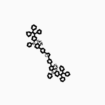 c1ccc(C(=C(c2ccccc2)c2ccc(N(c3ccccc3)c3ccc(-c4ccc(-c5ccc(-c6ccc(-c7ccc(N(c8ccccc8)c8ccc(C(=C(c9ccccc9)c9ccccc9)c9ccccc9)cc8)c8c7N=S=N8)cc6)o5)cc4)c4c3N=S=N4)cc2)c2ccccc2)cc1